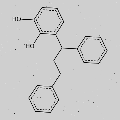 Oc1cccc(C(CCc2ccccc2)c2ccccc2)c1O